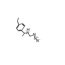 CCc1ccc(C(C)NCN=[N+]=[N-])cc1